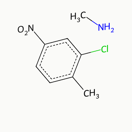 CN.Cc1ccc([N+](=O)[O-])cc1Cl